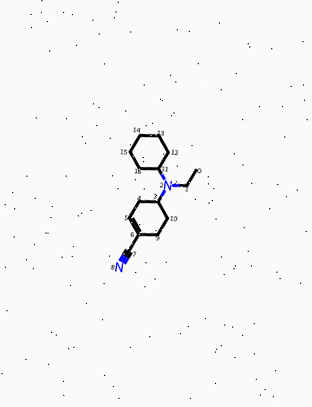 CCN(C1CC=C(C#N)CC1)C1CCCCC1